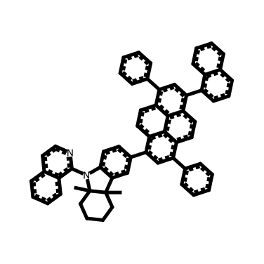 CC12CCCCC1(C)N(c1nccc3ccccc13)c1ccc(-c3cc(-c4ccccc4)c4ccc5c(-c6cccc7ccccc67)cc(-c6ccccc6)c6ccc3c4c65)cc12